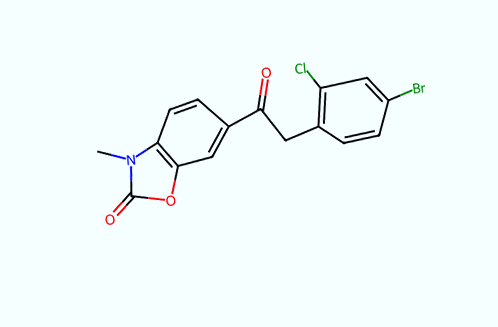 Cn1c(=O)oc2cc(C(=O)Cc3ccc(Br)cc3Cl)ccc21